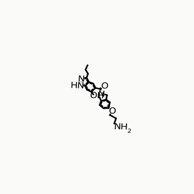 CCCc1n[nH]c2cc(O)c(C(=O)N3Cc4ccc(OCCCN)cc4C3)cc12